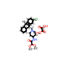 CCOC(OCC)C(=O)NC1CCN(C[C@@]23C[C@@H](c4ccccc42)c2ccc(Cl)cc23)CC1.O=C(O)C(=O)O